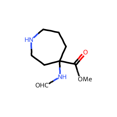 COC(=O)C1(NC=O)CCCNCC1